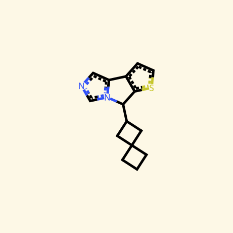 c1cc2c(s1)C(C1CC3(CCC3)C1)n1cncc1-2